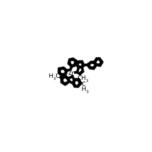 CC1=Cc2c(-c3ccc4ccccc4c3)cccc2[CH]1[Zr](=[C](c1ccccc1)c1ccccc1)[CH]1c2cc(C)ccc2-c2ccc(C)cc21